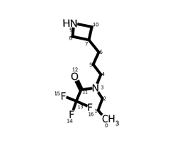 CCCN(CCCC1CNC1)C(=O)C(F)(F)F